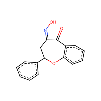 O=C1C(=NO)CC(c2ccccc2)Oc2ccccc21